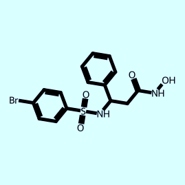 O=C(CC(NS(=O)(=O)c1ccc(Br)cc1)c1ccccc1)NO